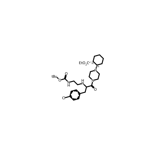 CCOC(=O)[C@@H]1CCCC[C@H]1N1CCN(C(=O)C(Cc2ccc(Cl)cc2)NCCNC(=O)OC(C)(C)C)CC1